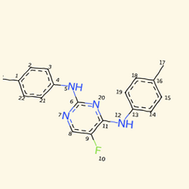 Cc1ccc(Nc2ncc(F)c(Nc3ccc(C)cc3)n2)cc1